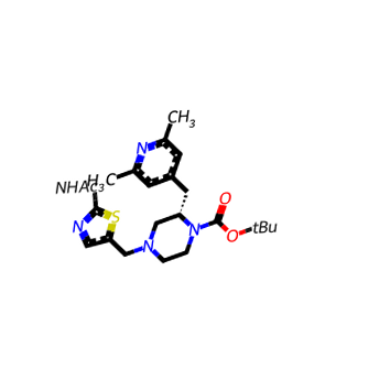 CC(=O)Nc1ncc(CN2CCN(C(=O)OC(C)(C)C)[C@@H](Cc3cc(C)nc(C)c3)C2)s1